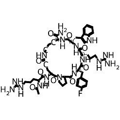 CC(=O)NC(CCCNC(=N)N)C(=O)N[C@H]1CCC(=O)NCCC[C@@H](C(N)=O)NC(=O)[C@H](Cc2c[nH]c3ccccc23)NC(=O)[C@H](CCCNC(=N)N)NC(=O)[C@@H](Cc2ccc(F)cc2)NC(=O)C2CCCN2C1=O